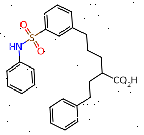 O=C(O)C(CCCc1cccc(S(=O)(=O)Nc2ccccc2)c1)CCc1ccccc1